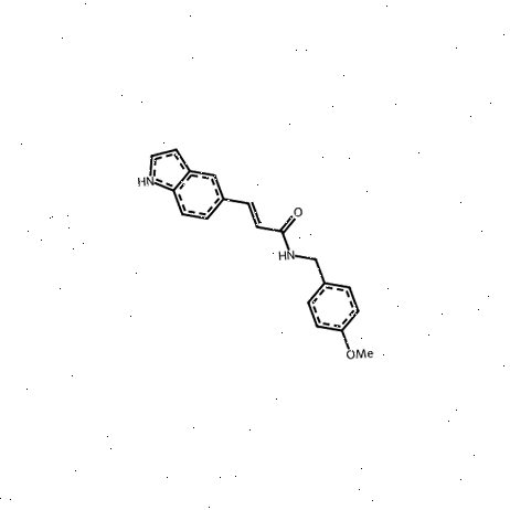 COc1ccc(CNC(=O)C=Cc2ccc3[nH]ccc3c2)cc1